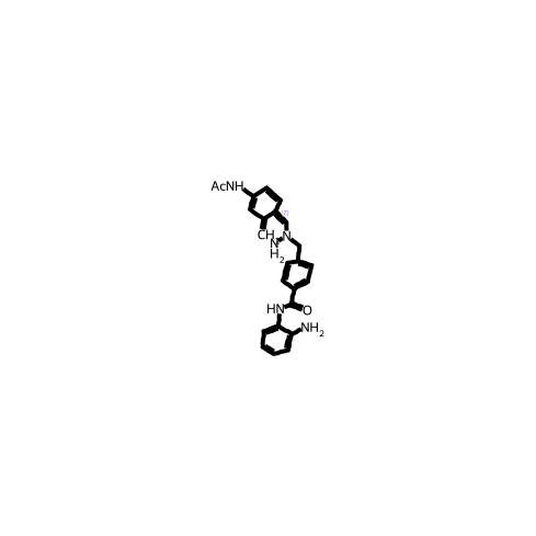 C=c1cc(NC(C)=O)cc/c1=C/N(N)Cc1ccc(C(=O)Nc2ccccc2N)cc1